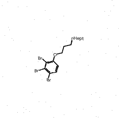 CCCCCCCCCCOc1ccc(Br)c(Br)c1Br